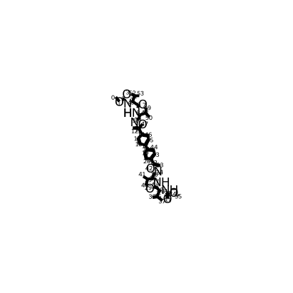 COC(=O)NC(C(=O)NC(c1ncc(-c2ccc(-c3ccc(-c4cnc(C(NC(=O)[C@H](NC(=O)OC)C(C)C)C(C)C)o4)cc3)cc2)o1)C(C)C)C(C)C